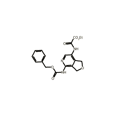 CCOC(=O)C(=O)Nc1cnc(NC(=O)OCc2ccccc2)c2c1COC2